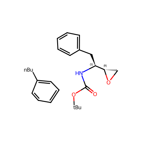 CC(C)(C)OC(=O)N[C@@H](Cc1ccccc1)[C@@H]1CO1.CCCCc1ccccc1